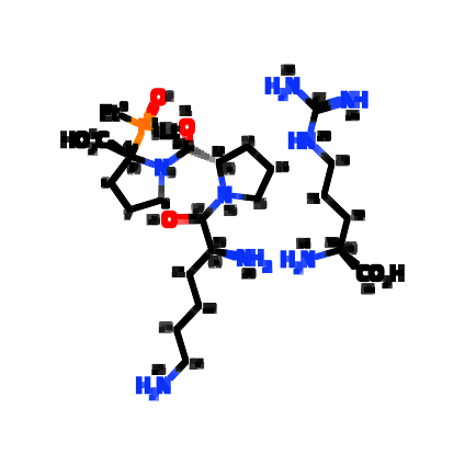 CCP(=O)(CC)[C@@]1(C(=O)O)CCCN1C(=O)[C@@H]1CCCN1C(=O)[C@@H](N)CCCCN.N=C(N)NCCC[C@H](N)C(=O)O